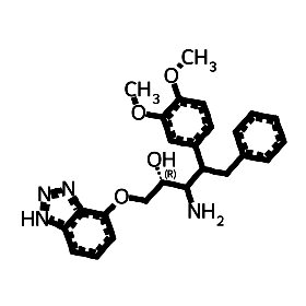 COc1ccc(C(Cc2ccccc2)C(N)[C@@H](O)COc2cccc3[nH]nnc23)cc1OC